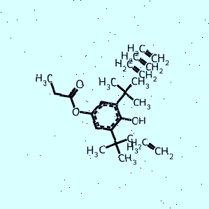 C=C.C=C.C=C.C=C.CCC(=O)Oc1cc(C(C)(C)C)c(O)c(C(C)(C)C)c1